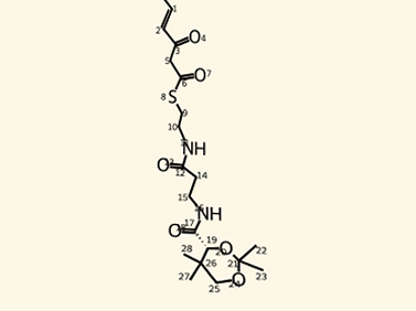 C/C=C/C(=O)CC(=O)SCCNC(=O)CCNC(=O)[C@@H]1OC(C)(C)OCC1(C)C